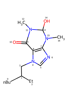 CCCCC(CC)Cn1cnc2c1C(=O)N(C)C(O)N2C